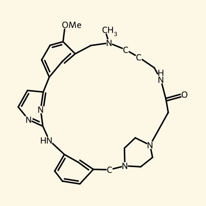 COc1ccc2cc1CN(C)CCCNC(=O)CN1CCN(CC1)Cc1cccc(c1)Nc1nccc-2n1